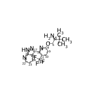 CC(C)(C)[C@H](N)COc1ccc(C(F)(F)F)c(-c2n[nH]c3ncccc23)n1